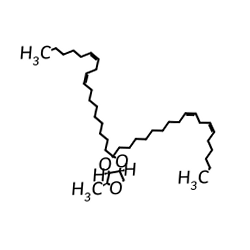 CCCCC/C=C\C/C=C\CCCCCCCCC1(CCCCCCCC/C=C\C/C=C\CCCCC)O[C@H]2[C@H](C)OC[C@H]2O1